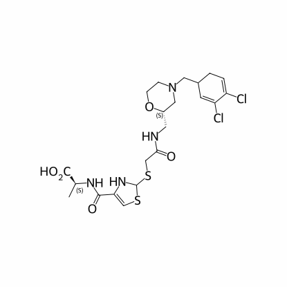 C[C@H](NC(=O)C1=CSC(SCC(=O)NC[C@H]2CN(CC3C=C(Cl)C(Cl)=CC3)CCO2)N1)C(=O)O